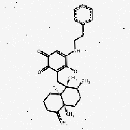 C=C1CCC[C@H]2[C@](C)(CC3=C(O)C(NCCc4ccccc4)=CC(=O)C3=O)[C@@H](C)CC[C@]12C